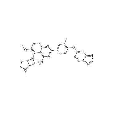 COc1ccc2nc(-c3ccc(Oc4cc5ncnn5cn4)c(C)c3)nc(N)c2c1N1CC2C1CCN2C